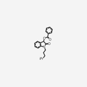 CC(C)CCCN1C(=O)C(OC(=O)c2ccccc2)c2ccccc21